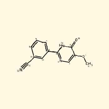 COc1cnc(-c2cccc(C#N)c2)[nH]c1=O